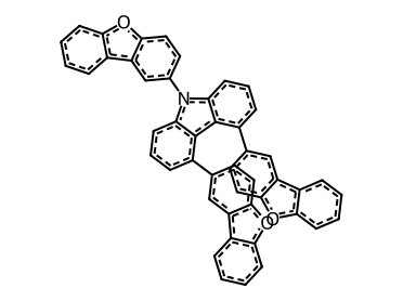 c1ccc2c(c1)oc1ccc(-c3cccc4c3c3c(-c5ccc6oc7ccccc7c6c5)cccc3n4-c3ccc4oc5ccccc5c4c3)cc12